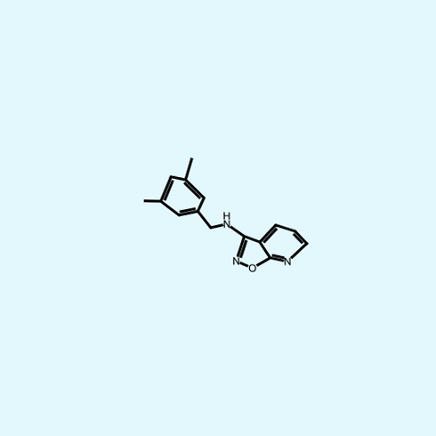 Cc1cc(C)cc(CNc2noc3ncccc23)c1